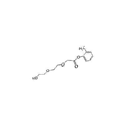 [CH2]c1ccccc1OC(=O)COCCOCCO